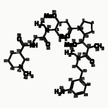 CCC(C)C(C(CC(=O)N1CCCC1C(OC)C(C)C(=O)N(C)CCc1cccc(N)c1)OC)N(C)C(=O)CNC(=O)C1CCCN(C)C1